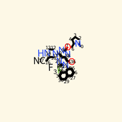 CN1CCCC1COc1nc(N2CCNC(CC#N)C2)c2nc(C(F)(F)F)n(-c3cccc4cccc(F)c34)c(=O)c2n1